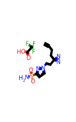 C#CCCC1(CCn2ccc(S(N)(=O)=O)n2)N=N1.O=C(O)C(F)(F)F